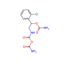 NC(=O)OC(=O)NCC(OC(N)=O)c1ccccc1Cl